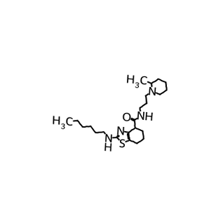 CCCCCCNc1nc2c(s1)CCCC2C(=O)NCCCN1CCCCC1C